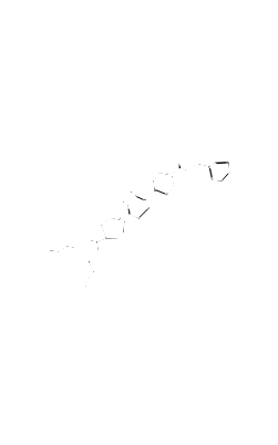 CCCCOC(OCCCC)C1CCN(c2ccc(C3=CCN(C(=O)OCc4ccccc4)CC3)nn2)CC1